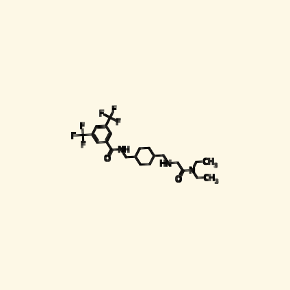 CCN(CC)C(=O)CNCC1CCC(CNC(=O)c2cc(C(F)(F)F)cc(C(F)(F)F)c2)CC1